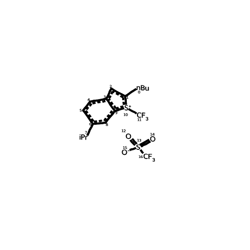 CCCCc1cc2ccc(C(C)C)cc2[s+]1C(F)(F)F.O=S(=O)([O-])C(F)(F)F